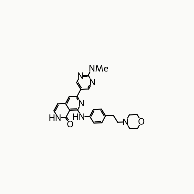 CNc1ncc(-c2cc3cc[nH]c(=O)c3c(Nc3ccc(CCN4CCOCC4)cc3)n2)cn1